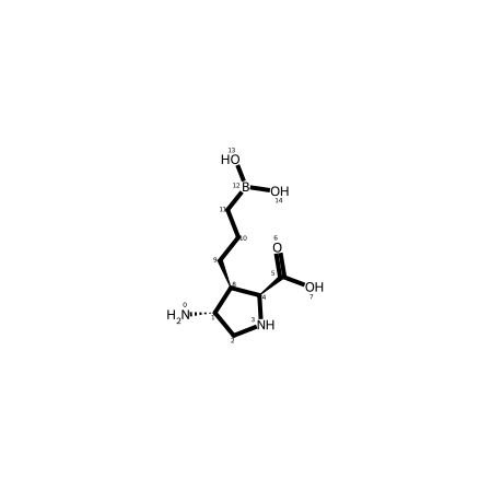 N[C@H]1CN[C@H](C(=O)O)[C@@H]1CCCB(O)O